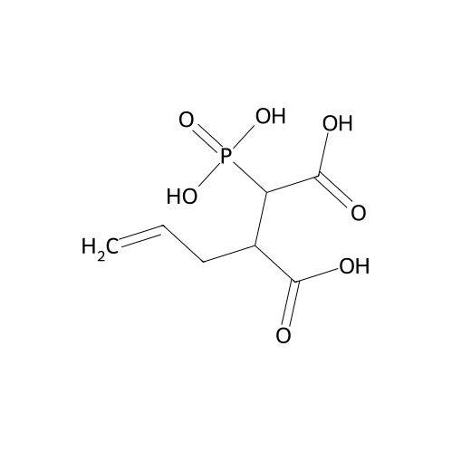 C=CCC(C(=O)O)C(C(=O)O)P(=O)(O)O